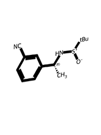 C[C@@H](N[S+]([O-])C(C)(C)C)c1cccc(C#N)c1